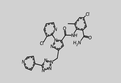 Cc1cc(Cl)cc(C(N)=O)c1NC(=O)c1cc(Cn2nnc(-c3ccncc3)n2)nn1-c1ncccc1Cl